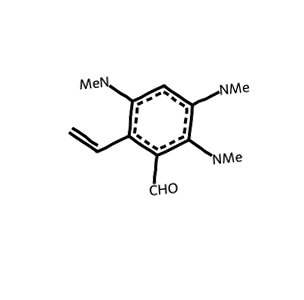 C=Cc1c(NC)cc(NC)c(NC)c1C=O